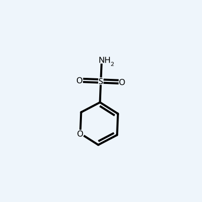 NS(=O)(=O)C1=CC=COC1